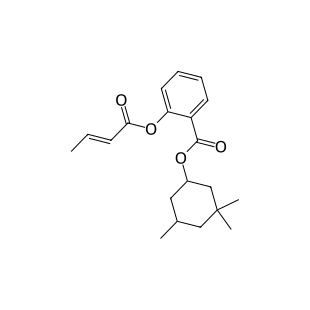 CC=CC(=O)Oc1ccccc1C(=O)OC1CC(C)CC(C)(C)C1